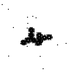 c1ccc(-c2ccc(-c3c4ccccc4cc4c3oc3cccc(-c5ccc(N(c6ccc(-c7ccccc7)cc6)c6ccc(-c7ccccc7)cc6)cc5)c34)cc2)cc1